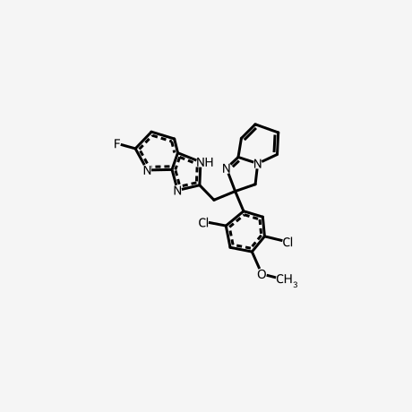 COc1cc(Cl)c(C2(Cc3nc4nc(F)ccc4[nH]3)CN3C=CC=CC3=N2)cc1Cl